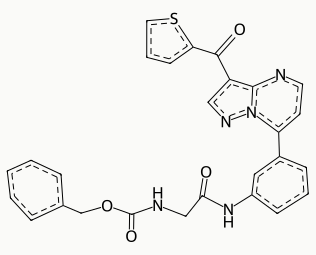 O=C(CNC(=O)OCc1ccccc1)Nc1cccc(-c2ccnc3c(C(=O)c4cccs4)cnn23)c1